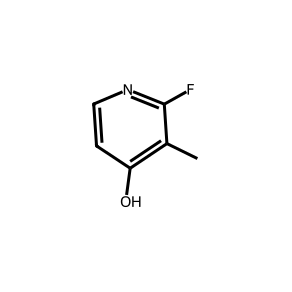 Cc1c(O)ccnc1F